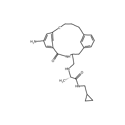 C[C@H](NCC1Cc2cccc(c2)CCCCc2cc(N)cc(c2)C(=O)N1)C(=O)NCC1CC1